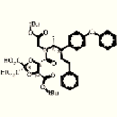 CCOC(=O)[C@@]1(C(=O)O)O[C@H](C(=O)OC(C)(C)C)[C@@H](C(=O)N(CC(=O)OC(C)(C)C)[C@H](C)[C@H](CCc2ccccc2)c2ccc(Oc3ccccc3)cc2)O1